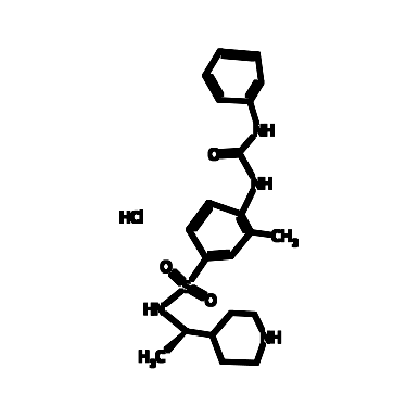 Cc1cc(S(=O)(=O)N[C@H](C)C2CCNCC2)ccc1NC(=O)Nc1ccccc1.Cl